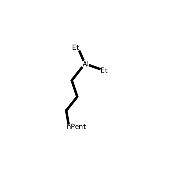 CCCCCCC[CH2][Al]([CH2]C)[CH2]C